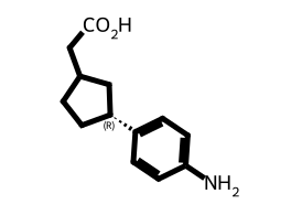 Nc1ccc([C@@H]2CCC(CC(=O)O)C2)cc1